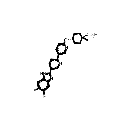 C[C@]1(C(=O)O)CC[C@H](Oc2ccc(-c3ccc(-c4nc5cc(F)c(F)cc5[nH]4)cn3)cn2)CC1